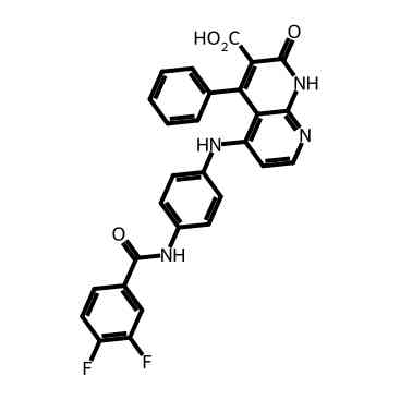 O=C(Nc1ccc(Nc2ccnc3[nH]c(=O)c(C(=O)O)c(-c4ccccc4)c23)cc1)c1ccc(F)c(F)c1